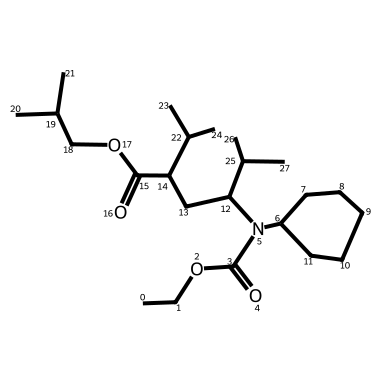 CCOC(=O)N(C1CCCCC1)C(CC(C(=O)OCC(C)C)C(C)C)C(C)C